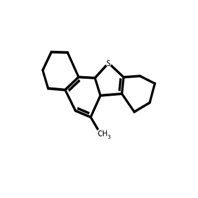 CC1=CC2=C(CCCC2)C2SC3=C(CCCC3)C12